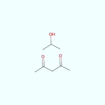 CC(=O)CC(C)=O.CC(C)O